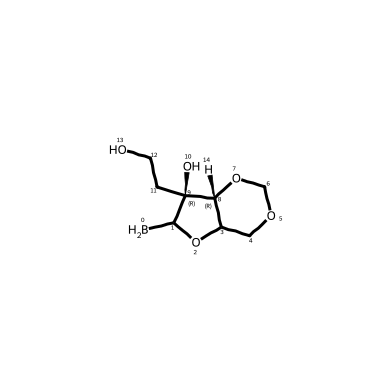 BC1OC2COCO[C@H]2[C@@]1(O)CCO